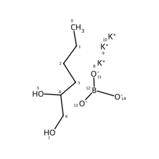 CCCCC(O)CO.[K+].[K+].[K+].[O-]B([O-])[O-]